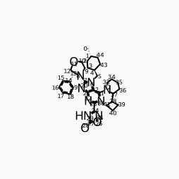 C[C@H]1CC[C@H](Cn2c(N3CCOC[C@H]3c3ccccc3)nc3nc(-c4noc(=O)[nH]4)nc(N4CCCCC4C4CCC4)c32)CC1